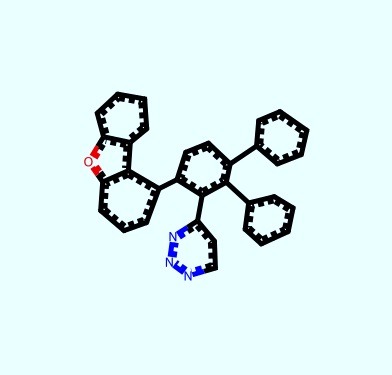 c1ccc(-c2ccc(-c3cccc4oc5ccccc5c34)c(-c3ccnnn3)c2-c2ccccc2)cc1